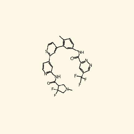 Cc1ccc(NC(=O)c2cc(C(F)(F)F)cnn2)cc1-c1ccnc(-c2ccnc(NC(=O)C3CN(C)CC3(F)F)c2)c1